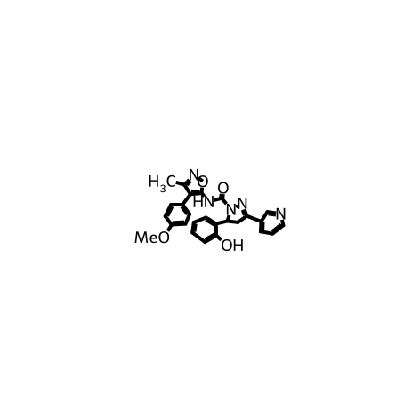 COc1ccc(-c2c(C)noc2NC(=O)N2N=C(c3cccnc3)CC2c2ccccc2O)cc1